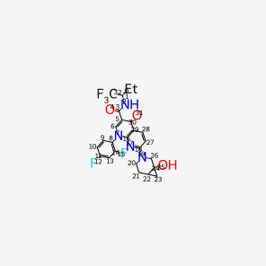 CC[C@@H](NC(=O)c1cn(-c2ccc(F)cc2F)c2nc(N3CCC4CC4(O)C3)ccc2c1=O)C(F)(F)F